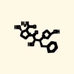 NC(=O)C1[C@@H](O)CCN1C(=O)[C@H](O)[C@H](Cc1ccccc1)N1CC[C@@H](O)C1